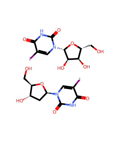 O=c1[nH]c(=O)n([C@@H]2O[C@H](CO)[C@@H](O)[C@H]2O)cc1I.O=c1[nH]c(=O)n([C@H]2C[C@H](O)[C@@H](CO)O2)cc1I